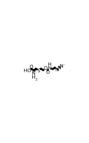 [N-]=[N+]=NCCNC(=O)OCCSC[C@H](N)C(=O)O